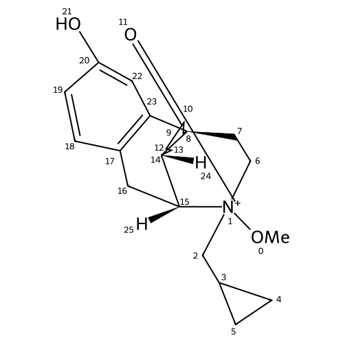 CO[N+]1(CC2CC2)CC[C@]23CC(=O)CC[C@H]2[C@H]1Cc1ccc(O)cc13